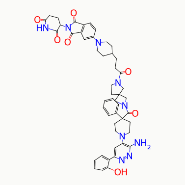 Nc1nnc(-c2ccccc2O)cc1N1CCC(C(=O)N2CC3(CCN(C(=O)CCC4CCN(c5ccc6c(c5)C(=O)N(C5CCC(=O)NC5=O)C6=O)CC4)C3)C2)(c2ccccc2)CC1